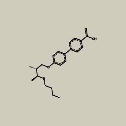 CCCCO[C@@H](C)[C@H](C)COc1ccc(-c2ccc(C(=O)O)cc2)cc1